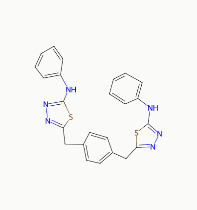 c1ccc(Nc2nnc(Cc3ccc(Cc4nnc(Nc5ccccc5)s4)cc3)s2)cc1